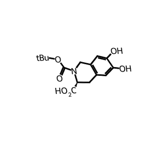 CC(C)(C)OC(=O)N1Cc2cc(O)c(O)cc2C[C@H]1C(=O)O